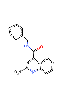 O=C(NCc1ccccc1)c1cc([N+](=O)[O-])nc2ccccc12